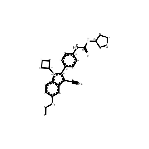 CCOc1ccc2c(c1)c(C#N)c(-c1ccc(NC(=O)OC3CCOC3)cc1)n2C1CCC1